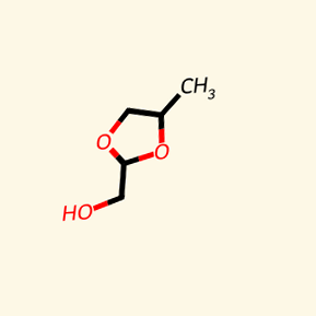 CC1COC(CO)O1